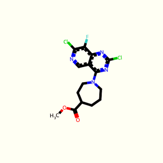 COC(=O)C1CCCN(c2nc(Cl)nc3c(F)c(Cl)ncc23)CC1